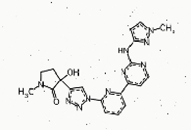 CN1CCC(O)(c2cn(-c3cccc(-c4ccnc(Nc5ccn(C)n5)n4)n3)nn2)C1=O